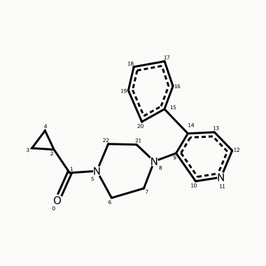 O=C(C1CC1)N1CCN(c2cnccc2-c2ccccc2)CC1